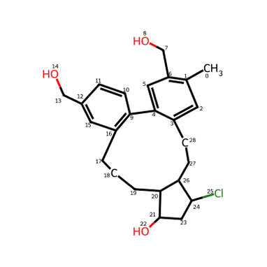 Cc1cc2c(cc1CO)-c1ccc(CO)cc1CCCC1C(O)CC(Cl)C1CC2